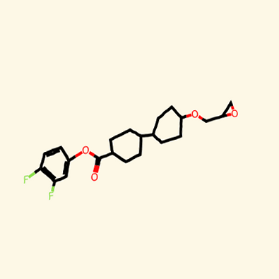 O=C(Oc1ccc(F)c(F)c1)C1CCC(C2CCC(OCC3CO3)CC2)CC1